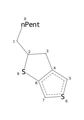 CCCCCCC1Cc2cscc2S1